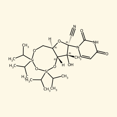 CC(C)[Si]1(C(C)C)OC[C@H]2O[C@@](C#N)(n3ccc(=O)[nH]c3=O)[C@](C)(O)[C@@H]2O[Si](C(C)C)(C(C)C)O1